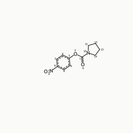 O=C(Oc1ccc([N+](=O)[O-])cc1)N1CCCC1